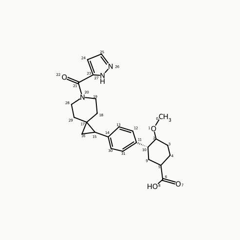 COC1CCC(C(=O)O)C[C@@H]1c1ccc(C2CC23CCN(C(=O)c2ccn[nH]2)CC3)cc1